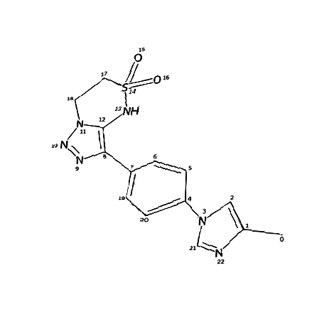 Cc1cn(-c2ccc(-c3nnn4c3NS(=O)(=O)CC4)cc2)cn1